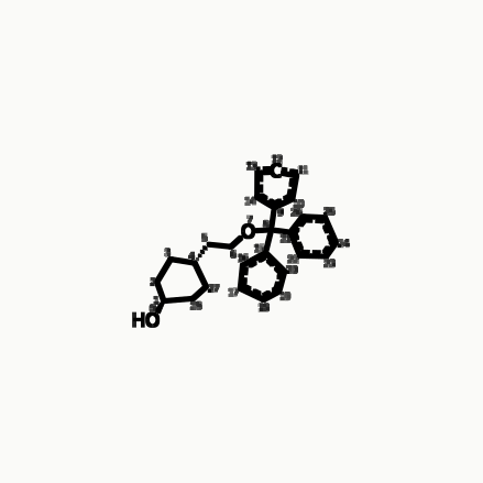 O[C@H]1CC[C@H](CCOC(c2ccccc2)(c2ccccc2)c2ccccc2)CC1